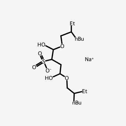 CCCCC(CC)COC(O)CC(C(O)OCC(CC)CCCC)S(=O)(=O)[O-].[Na+]